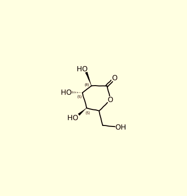 O=C1OC(CO)[C@@H](O)[C@H](O)[C@H]1O